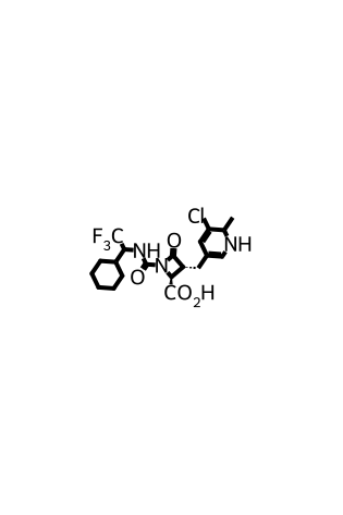 CC1NC=C(C[C@H]2C(=O)N(C(=O)NC(C3CCCCC3)C(F)(F)F)[C@@H]2C(=O)O)C=C1Cl